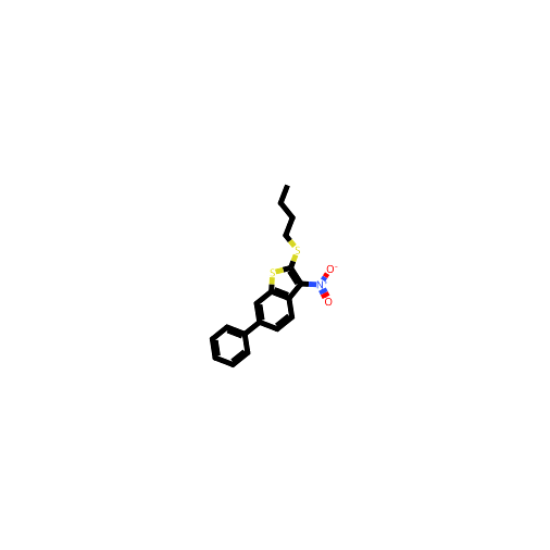 CCCCSc1sc2cc(-c3ccccc3)ccc2c1[N+](=O)[O-]